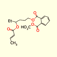 CC=CC(=O)OC(CC)CCCOC(=O)c1ccccc1C(=O)OC(=O)O